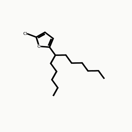 CCCCCCC(CCCCC)c1ccc(Cl)o1